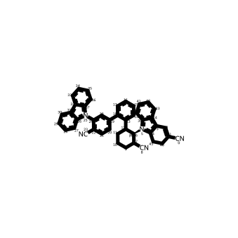 N#CC1=Cc2c(n([C@H]3C(C#N)CCCC3c3ccccc3-c3ccc(C#N)c(-n4c5ccccc5c5ccccc54)c3)c3ccccc23)CC1